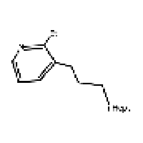 CCCCCCCCCCc1cccnc1CC